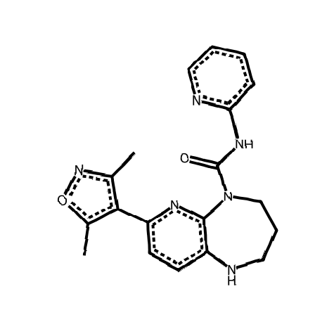 Cc1noc(C)c1-c1ccc2c(n1)N(C(=O)Nc1ccccn1)CCCN2